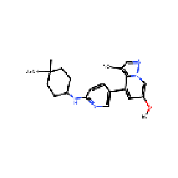 CCOc1cc(-c2ccc(NC3CCC(C)(NC(C)=O)CC3)nc2)c2c(C#N)cnn2c1